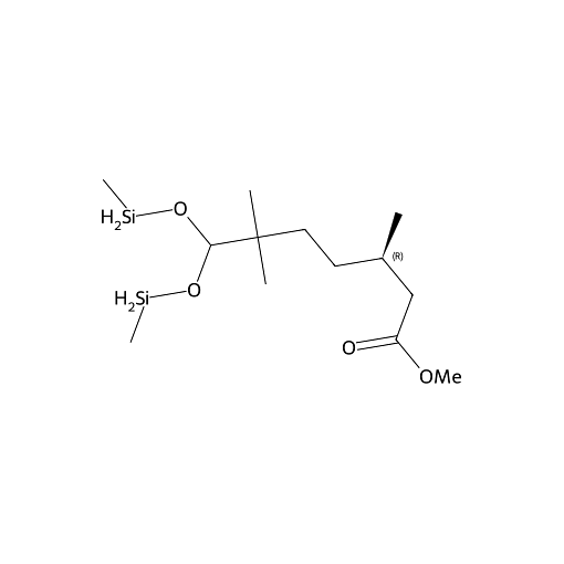 COC(=O)C[C@H](C)CCC(C)(C)C(O[SiH2]C)O[SiH2]C